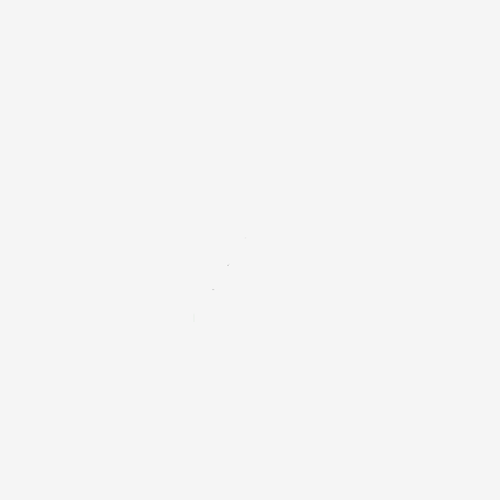 FC(F)(I)CC(F)(F)C(F)(F)C(F)(F)F